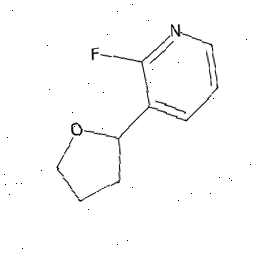 Fc1ncccc1C1CCCO1